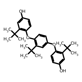 CC(C)(C)c1cc(O)ccc1Oc1ccc(Oc2ccc(O)cc2C(C)(C)C)c(C(C)(C)C)c1